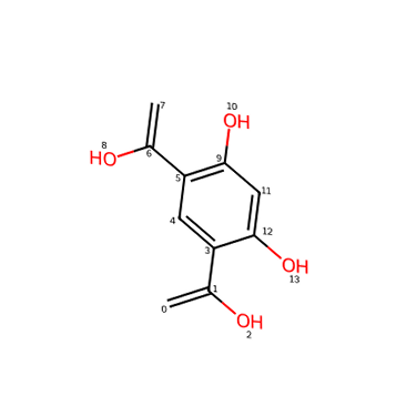 C=C(O)c1cc(C(=C)O)c(O)cc1O